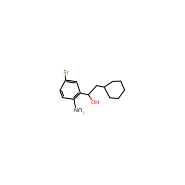 O=[N+]([O-])c1ccc(Br)cc1C(O)CC1CCCCC1